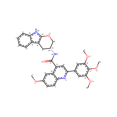 COc1ccc2nc(-c3cc(OC)c(OC)c(OC)c3)cc(C(=O)N[C@H]3COc4[nH]c5ccccc5c4C3)c2c1